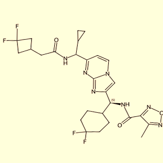 Cc1nonc1C(=O)N[C@H](c1cn2ccc(C(NC(=O)CC3CC(F)(F)C3)C3CC3)nc2n1)C1CCC(F)(F)CC1